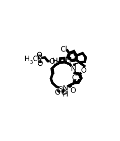 CS(=O)(=O)CCO[C@@H]1/C=C/CCCS(=O)(=O)NC(=O)c2ccc3c(c2)N(C[C@@H]2CC[C@H]21)C[C@@]1(CCCc2cc(Cl)ccc21)CO3